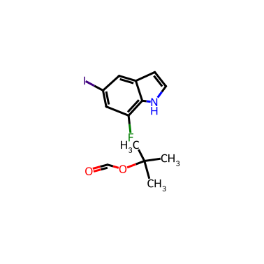 CC(C)(C)OC=O.Fc1cc(I)cc2cc[nH]c12